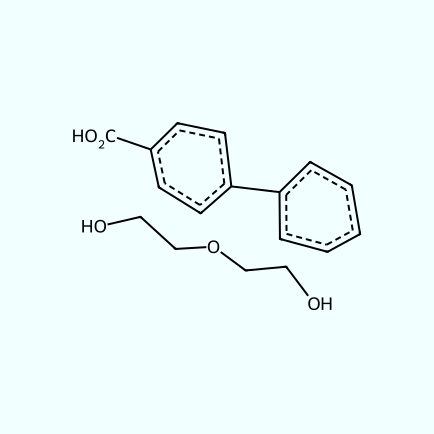 O=C(O)c1ccc(-c2ccccc2)cc1.OCCOCCO